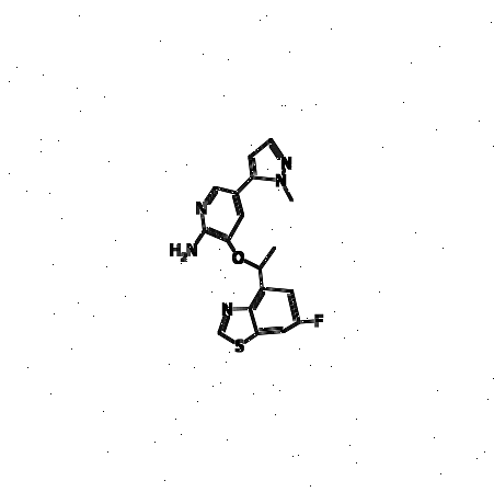 CC(Oc1cc(-c2ccnn2C)cnc1N)c1cc(F)cc2scnc12